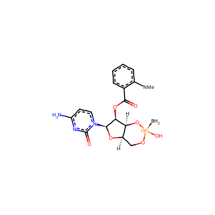 B[PH]1(O)OC[C@H]2O[C@@H](n3ccc(N)nc3=O)[C@@H](OC(=O)c3ccccc3NC)[C@H]2O1